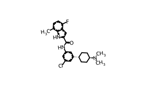 Cc1ccc(F)c2cc(C(=O)Nc3cc(Cl)cc([C@H]4CC[C@H](N(C)C)CC4)c3)[nH]c12